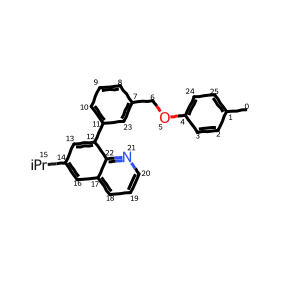 Cc1ccc(OCc2cccc(-c3cc(C(C)C)cc4cccnc34)c2)cc1